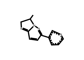 CC1CN=C2C=CC(c3cccnc3)=NN21